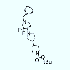 CC(C)(C)OC(=O)N1CCC(C2CCN(C3=CCN(Cc4ccccc4)CC3(F)F)CC2)CC1